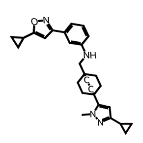 Cn1nc(C2CC2)cc1C12CCC(CNc3cccc(-c4cc(C5CC5)on4)c3)(CC1)CC2